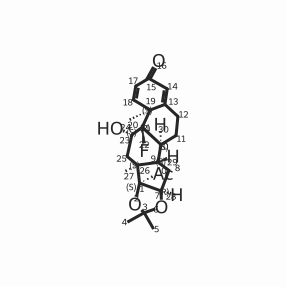 CC(=O)[C@@]12OC(C)(C)O[C@@H]1C[C@H]1[C@@H]3CCC4=CC(=O)C=C[C@]4(C)[C@@]3(F)[C@@H](O)C[C@@]12C